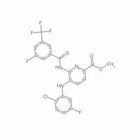 COC(=O)c1ccc(Nc2cc(F)ccc2Cl)c(NC(=O)c2cc(F)cc(C(F)(F)F)c2)n1